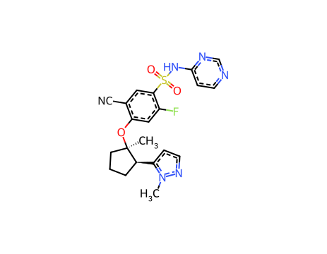 Cn1nccc1[C@H]1CCC[C@@]1(C)Oc1cc(F)c(S(=O)(=O)Nc2ccncn2)cc1C#N